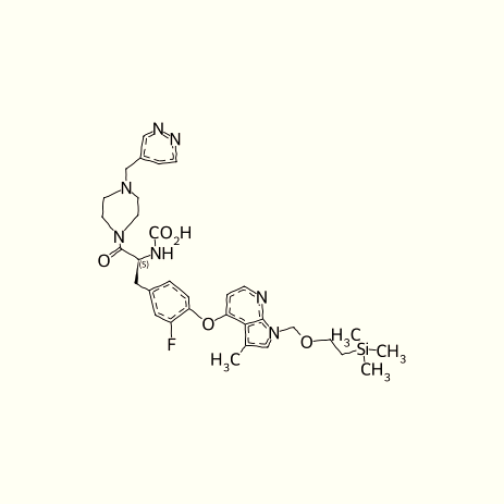 Cc1cn(COCC[Si](C)(C)C)c2nccc(Oc3ccc(C[C@H](NC(=O)O)C(=O)N4CCN(Cc5ccnnc5)CC4)cc3F)c12